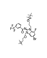 CC(C)(C)[Si](C)(C)OCCCn1/c(=N/C(=O)c2cccc(C(F)(F)F)c2)n(COCC[Si](C)(C)C)c2cc(Br)cc(F)c21